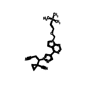 C[Si](C)(C)CCOCn1ccc2c(-c3cnn(C(CC#N)C4(C#N)CC4)c3)ncnc21